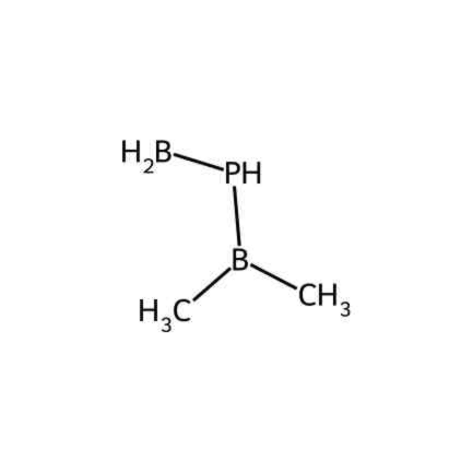 BPB(C)C